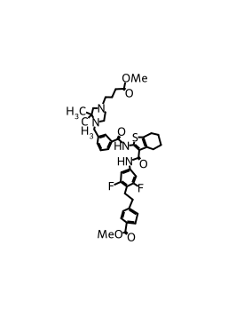 COC(=O)CCCN1CCN(Cc2cccc(C(=O)Nc3sc4c(c3C(=O)Nc3cc(F)c(CCc5ccc(C(=O)OC)cc5)c(F)c3)CCCC4)c2)C(C)(C)C1